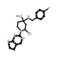 O=C(O)C1(NCc2ccc(F)cc2)CCN(c2ncc3ccsc3n2)C(C(F)(F)F)C1